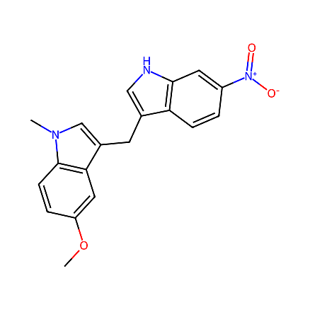 COc1ccc2c(c1)c(Cc1c[nH]c3cc([N+](=O)[O-])ccc13)cn2C